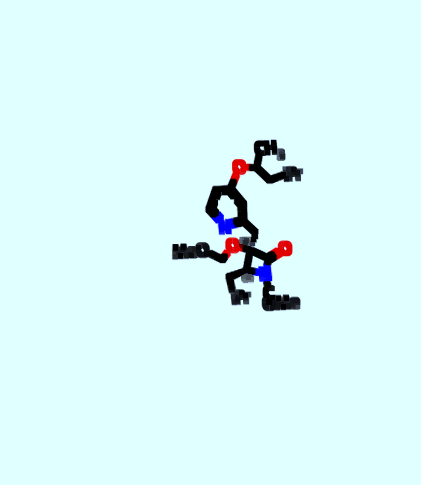 COCO[C@@]1(Cc2cc(OC(C)CC(C)C)ccn2)C(=O)N(COC)[C@H]1CC(C)C